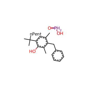 CCCCCC(C)(C)c1cc(C)c(Cc2ccccc2)c(C)c1O.O=[PH2]O